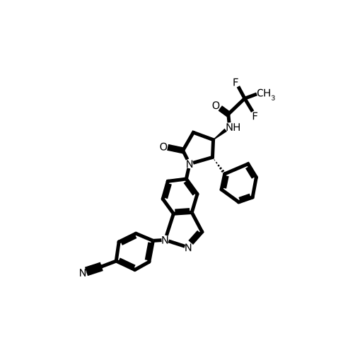 CC(F)(F)C(=O)N[C@@H]1CC(=O)N(c2ccc3c(cnn3-c3ccc(C#N)cc3)c2)[C@H]1c1ccccc1